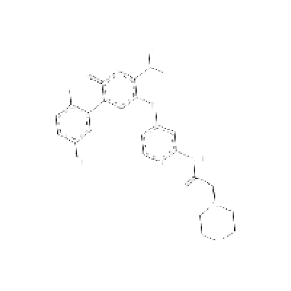 Cc1ccc(F)c(-c2cc(Nc3ccnc(NC(=O)CN4CCOCC4)c3)c(C(C)C)[nH]c2=O)c1